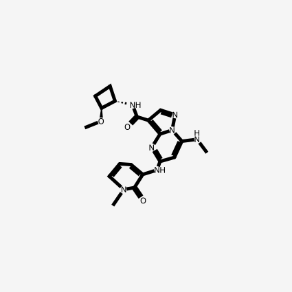 CNc1cc(Nc2cccn(C)c2=O)nc2c(C(=O)N[C@H]3CC[C@@H]3OC)cnn12